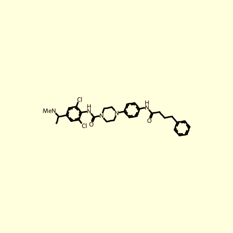 CNC(C)c1cc(Cl)c(NC(=O)N2CCN(c3ccc(NC(=O)CCCc4ccccc4)cc3)CC2)c(Cl)c1